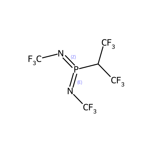 FC(F)(F)/N=P(=N/C(F)(F)F)/C(C(F)(F)F)C(F)(F)F